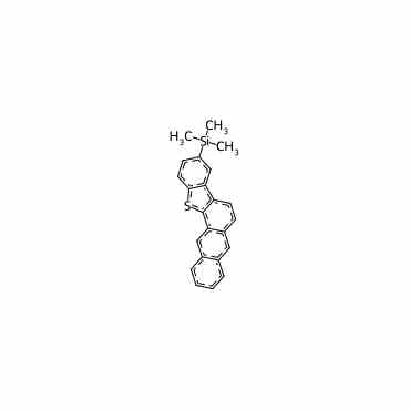 C[Si](C)(C)c1ccc2sc3c4cc5ccccc5cc4ccc3c2c1